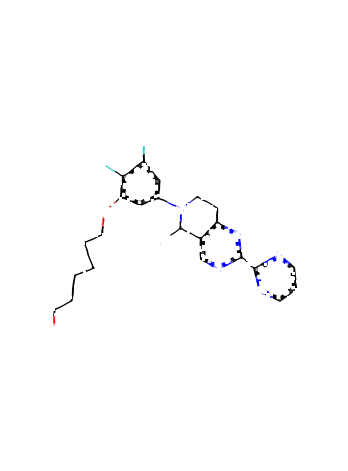 CC1c2cnc(-c3ncccn3)nc2CCN1c1cc(F)c(F)c(OCCCCCCO)c1